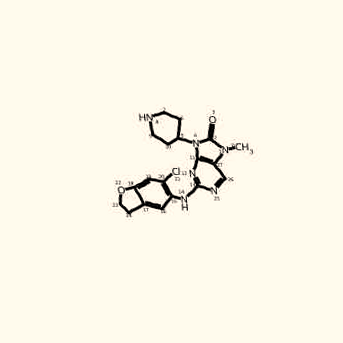 Cn1c(=O)n(C2CCNCC2)c2nc(Nc3cc4c(cc3Cl)OCC4)ncc21